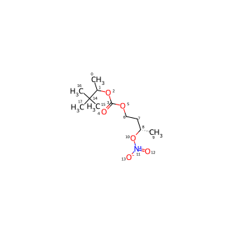 CC(OC(=O)OCC[C@H](C)O[N+](=O)[O-])C(C)(C)C